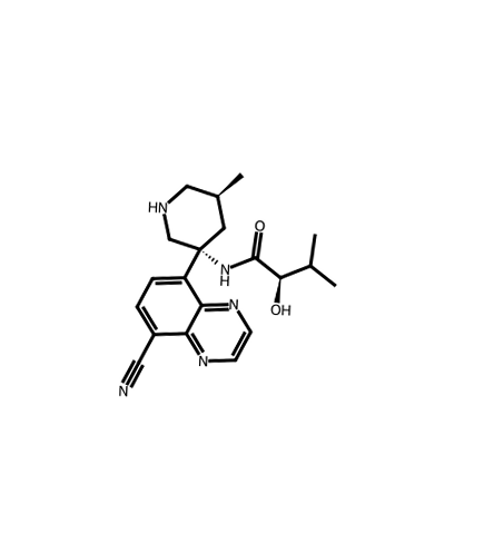 CC(C)[C@@H](O)C(=O)N[C@]1(c2ccc(C#N)c3nccnc23)CNC[C@@H](C)C1